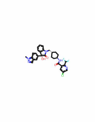 Cn1ncc2cc([C@]3(O)C(=O)N(C[C@H]4CC[C@H](NC(=O)c5cc(Cl)cnc5C(F)F)CC4)c4ccccc43)ccc21